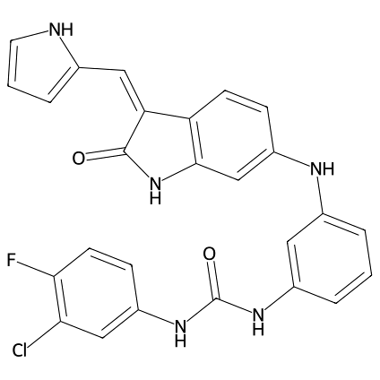 O=C(Nc1cccc(Nc2ccc3c(c2)NC(=O)/C3=C\c2ccc[nH]2)c1)Nc1ccc(F)c(Cl)c1